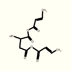 CC=CC(=O)OC(=O)CC(CCC)C(=O)OC(=O)C=CC